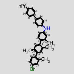 CCCc1ccc(-c2ccc(Nc3ccc(-c4cc(C)c(-c5ccc(Br)cc5C)cc4C)c(C)c3)cc2)cc1